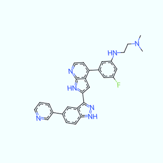 CN(C)CCNc1cc(F)cc(-c2ccnc3[nH]c(-c4n[nH]c5ccc(-c6cccnc6)cc45)cc23)c1